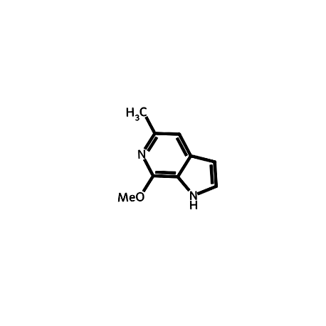 COc1nc(C)cc2cc[nH]c12